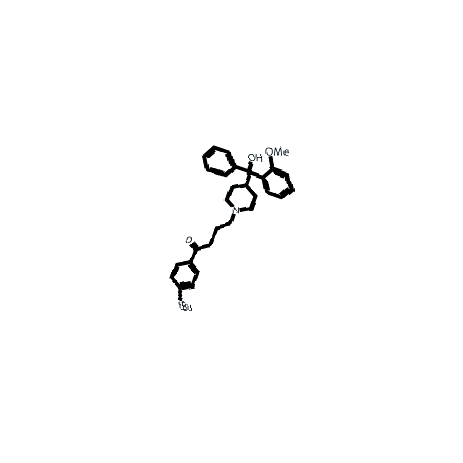 COc1ccccc1C(O)(c1ccccc1)C1CCN(CCCC(=O)c2ccc(C(C)(C)C)cc2)CC1